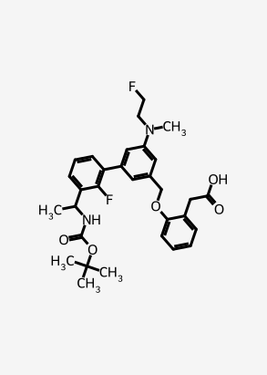 CC(NC(=O)OC(C)(C)C)c1cccc(-c2cc(COc3ccccc3CC(=O)O)cc(N(C)CCF)c2)c1F